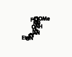 CCOc1ccc(-c2cncc(C(=O)Nc3nc4c(F)ccc(OC)c4o3)n2)cn1